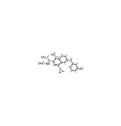 O=CNC(C(=O)O)c1nc(C2CC2)c2cc(Oc3cccc(Cl)c3)ccc2c1O